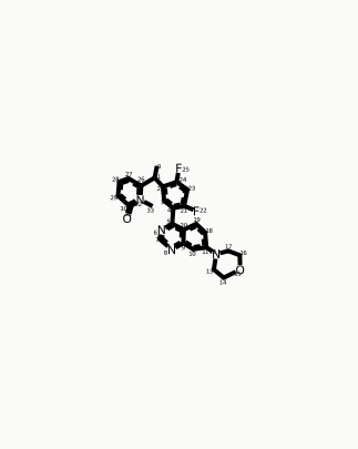 CC(c1cc(-c2ncnc3cc(N4CCOCC4)ccc23)c(F)cc1F)c1cccc(=O)n1C